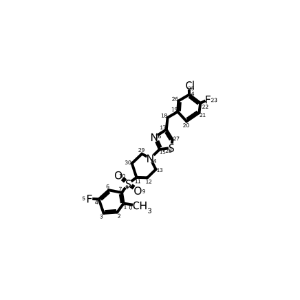 Cc1ccc(F)cc1S(=O)(=O)C1CCN(c2nc(Cc3ccc(F)c(Cl)c3)cs2)CC1